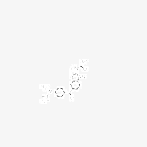 CN(c1ccc(C(=O)c2ccc3[nH]c(NC(=O)O)nc3c2)cc1)C1COC1